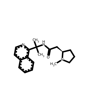 CN1CCC[C@@H]1CC(=O)NC(C)(C)c1nccc2ccccc12